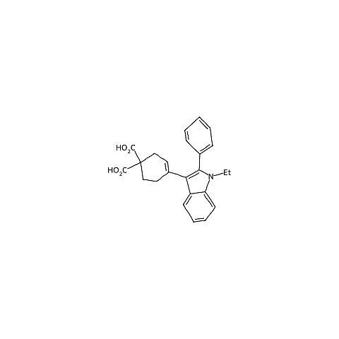 CCn1c(-c2ccccc2)c(C2=CCC(C(=O)O)(C(=O)O)CC2)c2ccccc21